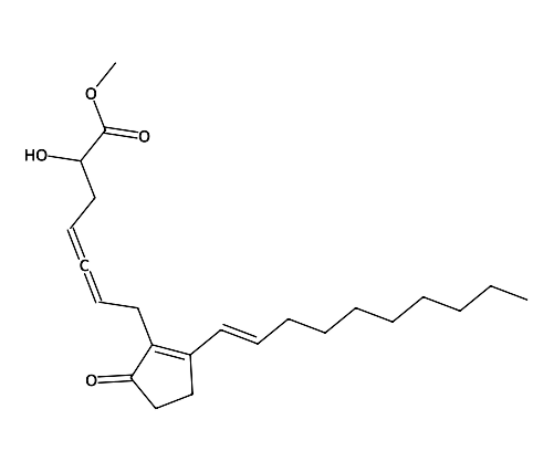 CCCCCCCC/C=C/C1=C(CC=C=CCC(O)C(=O)OC)C(=O)CC1